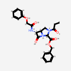 CCC(=O)N1CC2[C@@H](NC(=O)COc3ccccc3)C(=O)N2C1C(=O)OCc1ccccc1